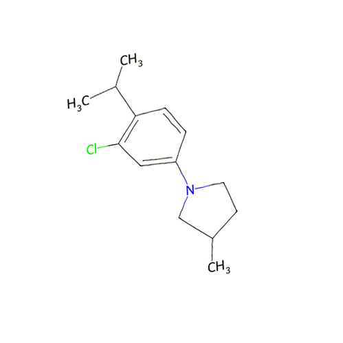 CC1CCN(c2ccc(C(C)C)c(Cl)c2)C1